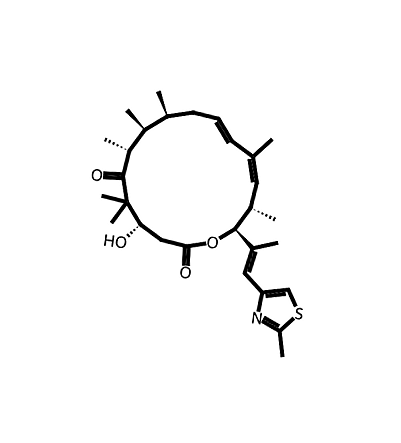 CC1=C/[C@H](C)[C@@H](/C(C)=C/c2csc(C)n2)OC(=O)C[C@H](O)C(C)(C)C(=O)[C@H](C)[C@@H](C)[C@@H](C)C\C=C\1